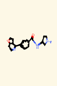 O=C(NC1CCNC1)c1ccc(-c2nccc3occc23)cc1